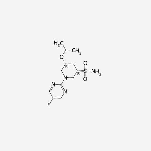 CC(C)O[C@@H]1C[C@@H](S(N)(=O)=O)CN(c2ncc(F)cn2)C1